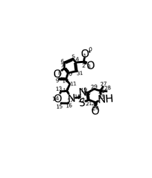 COC(=O)c1ccc2occ(CC3COCCN3c3nc4c(s3)C(=O)NC(C)(C)C4)c2c1